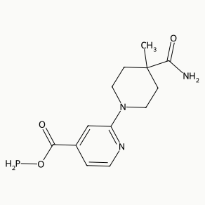 CC1(C(N)=O)CCN(c2cc(C(=O)OP)ccn2)CC1